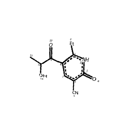 CCc1[nH]c(=O)c(C#N)cc1C(=O)C(C)O